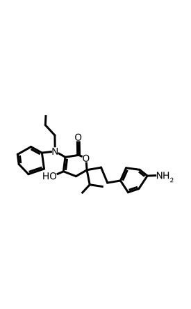 CCCN(C1=C(O)CC(CCc2ccc(N)cc2)(C(C)C)OC1=O)c1ccccc1